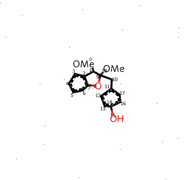 COC1c2ccccc2OC1(Cc1ccc(O)cc1)OC